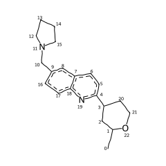 CC1CC(c2ccc3cc(CN4CCCC4)ccc3n2)CCO1